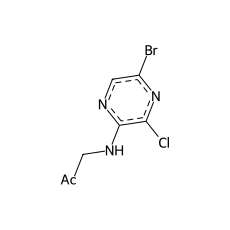 CC(=O)CNc1ncc(Br)nc1Cl